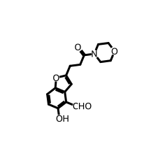 O=Cc1c(O)ccc2oc(CCC(=O)N3CCOCC3)cc12